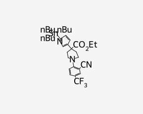 CCC[CH2][Sn]([CH2]CCC)([CH2]CCC)[c]1ccc(C2(C(=O)OCC)CCN(c3ccc(C(F)(F)F)cc3C#N)CC2)cn1